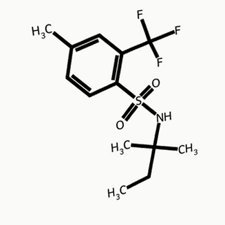 CCC(C)(C)NS(=O)(=O)c1ccc(C)cc1C(F)(F)F